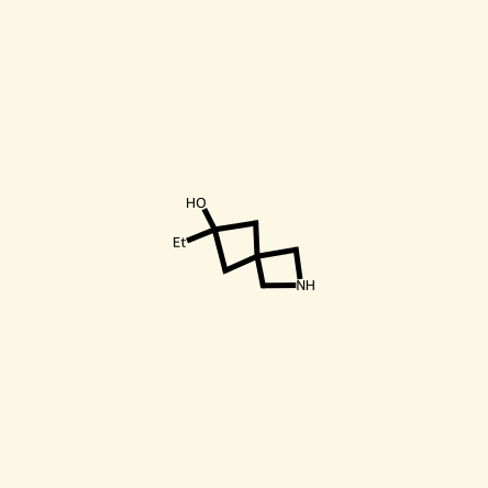 CCC1(O)CC2(CNC2)C1